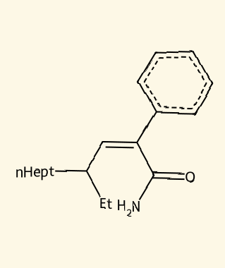 CCCCCCCC(C=C(C(N)=O)c1ccccc1)CC